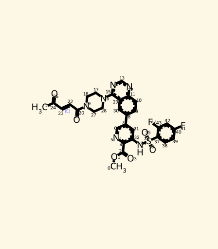 COC(=O)c1ncc(-c2ccc3ncnc(N4CCN(C(=O)/C=C/C(C)=O)CC4)c3c2)cc1NS(=O)(=O)c1ccc(F)cc1F